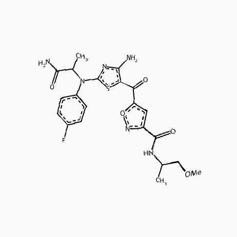 COCC(C)NC(=O)c1cc(C(=O)c2sc(N(c3ccc(F)cc3)C(C)C(N)=O)nc2N)on1